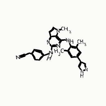 Cc1cc(-c2cn[nH]c2)cc(C)c1Nc1nc(Nc2ccc(C#N)cc2)nc2ccn(C)c12